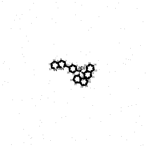 O[PH](c1ccc(-c2ccc3cccnc3n2)cc1)(c1cccc2ccccc12)c1cccc2ccccc12